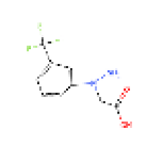 NN(CC(=O)O)c1cccc(C(F)(F)F)c1